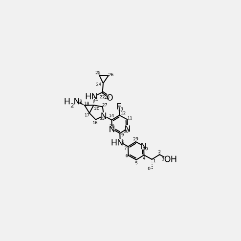 C[C@@H](CO)c1ccc(Nc2ncc(F)c(N3CC4[C@@H](N)[C@@]4(NC(=O)C4CC4)C3)n2)cn1